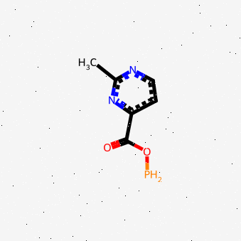 Cc1nccc(C(=O)OP)n1